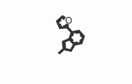 CC1=Cc2c(cccc2-c2ccco2)C1